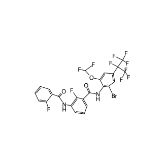 O=C(Nc1cccc(C(=O)Nc2c(Br)cc(C(F)(C(F)(F)F)C(F)(F)F)cc2OC(F)F)c1F)c1ccccc1F